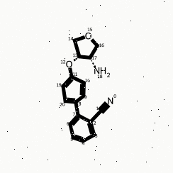 N#Cc1ccccc1-c1ccc(O[C@@H]2COC[C@@H]2N)cc1